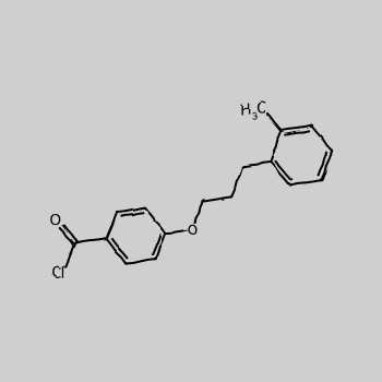 Cc1ccccc1CCCOc1ccc(C(=O)Cl)cc1